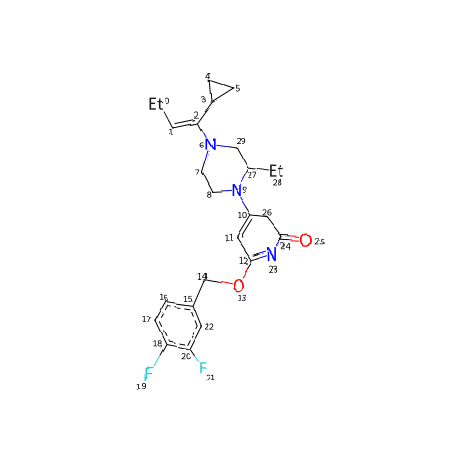 CC/C=C(\C1CC1)N1CCN(C2=CC(OCc3ccc(F)c(F)c3)=NC(=O)C2)C(CC)C1